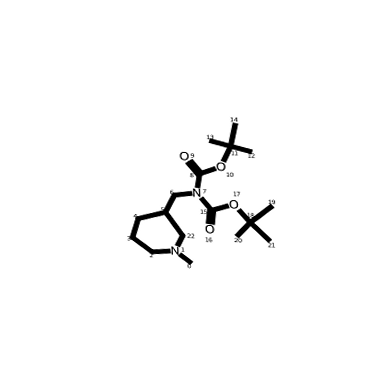 CN1CCCC(CN(C(=O)OC(C)(C)C)C(=O)OC(C)(C)C)C1